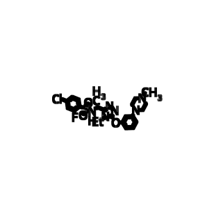 CCn1c(Oc2cccc(N3CCN(C)CC3)c2)nnc1[C@@H](C)NS(=O)(=O)c1ccc(Cl)cc1F